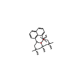 CP(C)(=S)CP(CP(C)(C)=S)c1cccc2cccc(P(CP(C)(C)=S)CP(C)(C)=S)c12